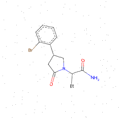 CCC(C(N)=O)N1CC(c2ccccc2Br)CC1=O